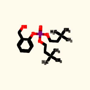 C[Si](C)(C)CCOP(=O)(OCC[Si](C)(C)C)Oc1ccccc1CO